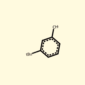 [CH]c1cccc(C(C)(C)C)c1